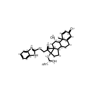 CCC[C@@H](O)O[C@]1(C(=O)CSc2nc3ccccc3[nH]2)CCC2C3CCC4=CC(=O)C=CC4(C)C3[C@@H](N=O)CC21C